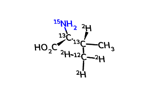 [2H][12C]([2H])([2H])[13C@@]([2H])(C)[13C@H]([15NH2])[13C](=O)O